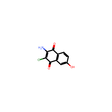 NC1=C(Cl)C(=O)c2cc(O)ccc2C1=O